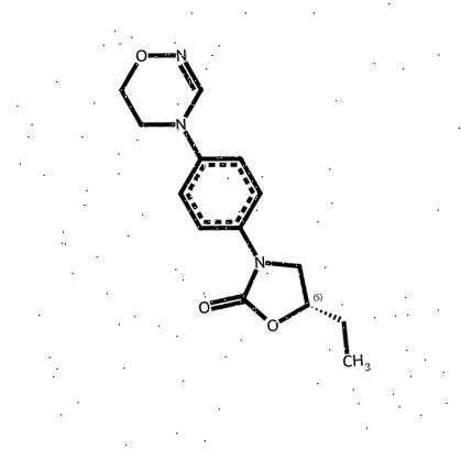 CC[C@H]1CN(c2ccc(N3C=NOCC3)cc2)C(=O)O1